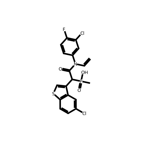 C=CN(C(=O)C(c1csc2ccc(Cl)cc12)P(C)(=O)O)c1ccc(F)c(Cl)c1